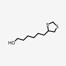 OCCCCCCC1CSCS1